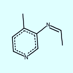 C/C=N\c1cnccc1C